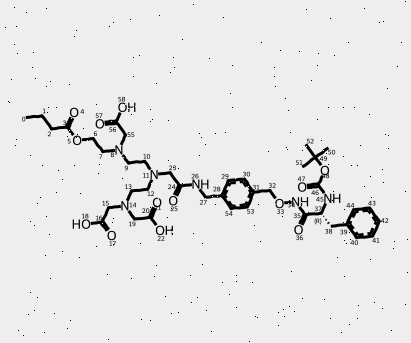 CCCC(=O)OCCN(CCN(CCN(CC(=O)O)CC(=O)O)CC(=O)NCc1ccc(CONC(=O)[C@@H](Cc2ccccc2)NC(=O)OC(C)(C)C)cc1)CC(=O)O